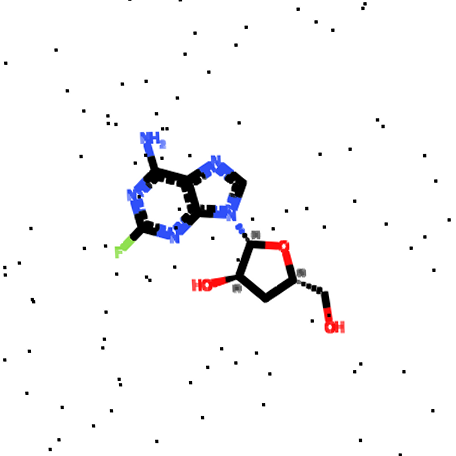 Nc1nc(F)nc2c1ncn2[C@@H]1O[C@H](CO)C[C@H]1O